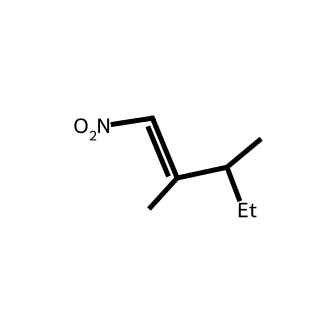 CCC(C)/C(C)=C/[N+](=O)[O-]